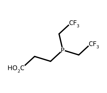 O=C(O)CCP(CC(F)(F)F)CC(F)(F)F